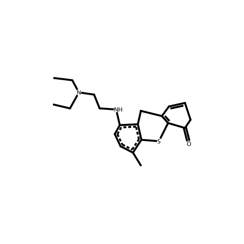 CCN(CC)CCNc1ccc(C)c2c1CC1=C(S2)C(=O)CC=C1